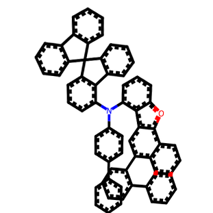 c1ccc(-c2ccc(N(c3cccc4c3-c3ccccc3C43c4ccccc4-c4ccccc43)c3cccc4oc5c6ccccc6c(-c6ccccc6-c6ccccc6)cc5c34)cc2)cc1